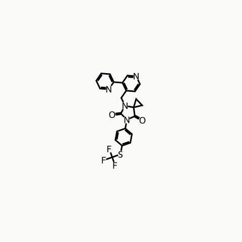 O=C1N(c2ccc(SC(F)(F)F)cc2)C(=O)C2(CC2)N1Cc1ccncc1-c1ccccn1